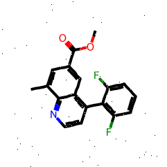 COC(=O)c1cc(C)c2nccc(-c3c(F)cccc3F)c2c1